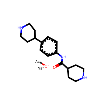 CC(=O)[O-].O=C(Nc1ccc(C2CCNCC2)cc1)C1CCNCC1.[Na+]